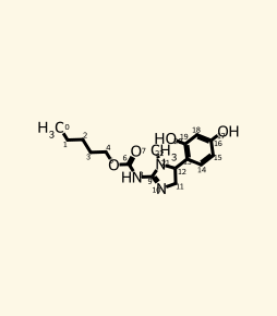 CCCCCOC(=O)NC1=NCC(c2ccc(O)cc2O)N1C